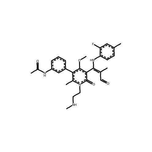 CNCCn1c(C)c(-c2cccc(NC(C)=O)c2)c(OC)c(/C(Nc2ccc(C)cc2F)=C(/C)C=O)c1=O